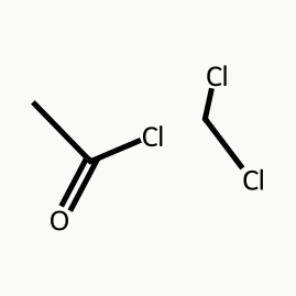 CC(=O)Cl.ClCCl